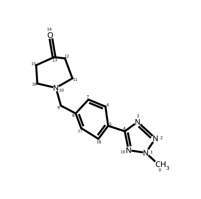 Cn1nnc(-c2ccc(CN3CCC(=O)CC3)cc2)n1